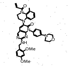 C=CC(=O)N1CCN(c2cc3cnc(NCc4ccc(OC)cc4OC)nc3n(-c3ccc(N4CCOCC4)cc3)c2=O)c2cccc(C)c21